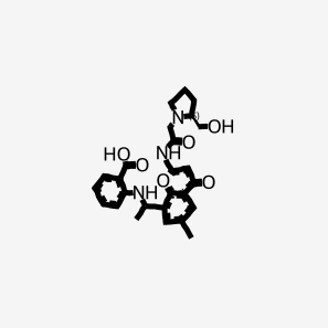 Cc1cc(C(C)Nc2ccccc2C(=O)O)c2oc(NC(=O)CN3CCC[C@H]3CO)cc(=O)c2c1